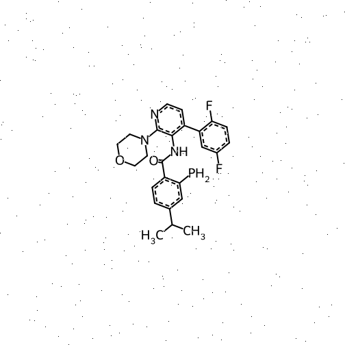 CC(C)c1ccc(C(=O)Nc2c(-c3cc(F)ccc3F)ccnc2N2CCOCC2)c(P)c1